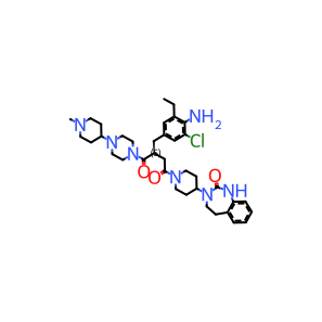 CCc1cc(C[C@@H](CC(=O)N2CCC(N3CCc4ccccc4NC3=O)CC2)C(=O)N2CCN(C3CCN(C)CC3)CC2)cc(Cl)c1N